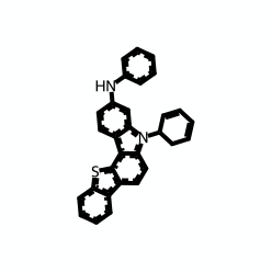 C1=CCC(n2c3cc(Nc4ccccc4)ccc3c3c4sc5ccccc5c4ccc32)C=C1